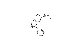 Cc1nn(-c2ccccc2)c2cc(N)ccc12